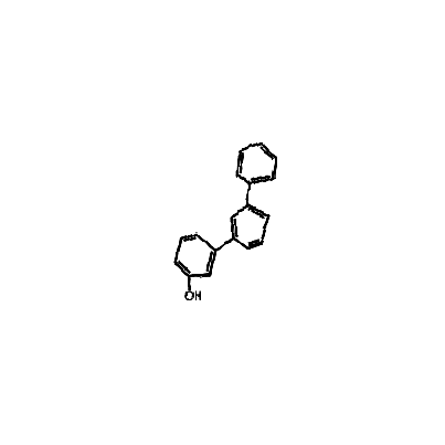 Oc1cc[c]c(-c2cccc(-c3ccccc3)c2)c1